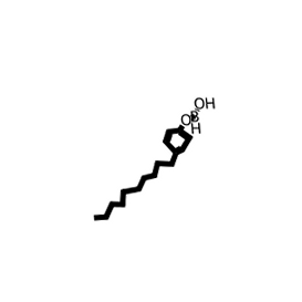 CCCCCCCCCCc1ccc(OBO)cc1